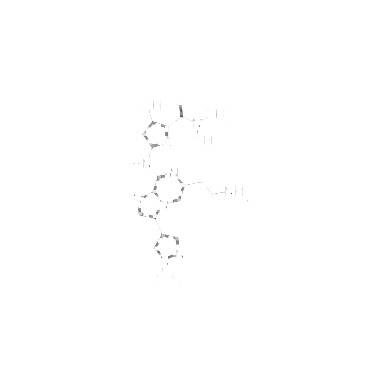 Cc1cc(Nc2nc(CCN)cn3c(-c4cnn(C)c4)cnc23)sc1C(=O)N(C)C